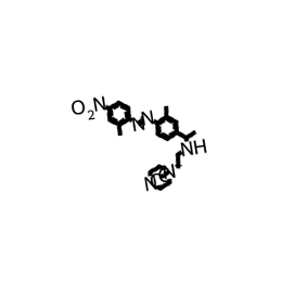 Cc1cc(C(C)NCC[N+]23CCN(CC2)CC3)ccc1N=Nc1ccc([N+](=O)[O-])cc1C